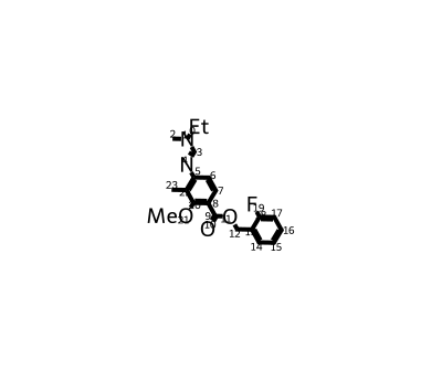 CCN(C)/C=N/c1ccc(C(=O)OCc2ccccc2F)c(OC)c1C